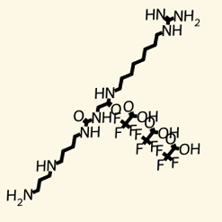 N=C(N)NCCCCCCCCNC(=O)CNC(=O)NCCCCNCCCN.O=C(O)C(F)(F)F.O=C(O)C(F)(F)F.O=C(O)C(F)(F)F